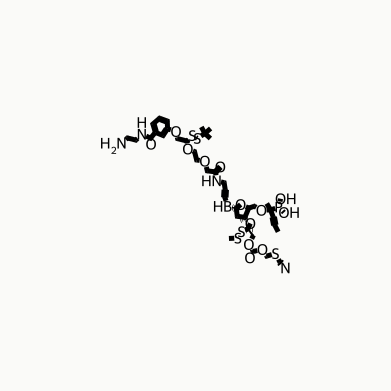 CC#CC(C)(OCC1O[C@@H](BC#CCNC(=O)COCCOC(COc2cccc(C(=O)NCCN)c2)SSC(C)(C)C)C[C@H]1O[C@@H](COC(=O)OCSC#N)SSC)P(O)O